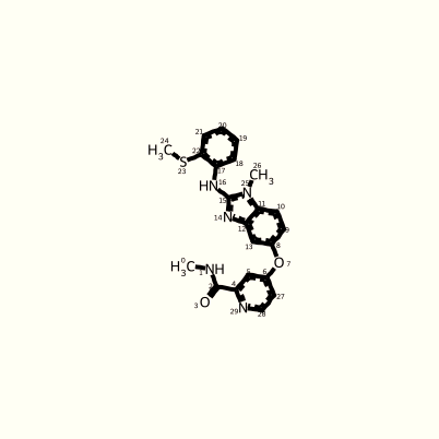 CNC(=O)c1cc(Oc2ccc3c(c2)nc(Nc2ccccc2SC)n3C)ccn1